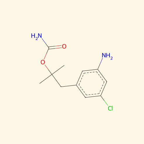 CC(C)(Cc1cc(N)cc(Cl)c1)OC(N)=O